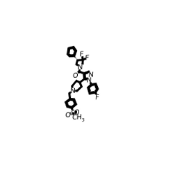 CS(=O)(=O)c1ccc(CN2CCC(c3c(C(=O)N4C[C@H](c5ccccc5)C(F)(F)C4)cnn3-c3ccc(F)cc3)CC2)cc1